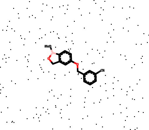 COB1OCc2cc(OCc3cccc(C#N)c3)ccc21